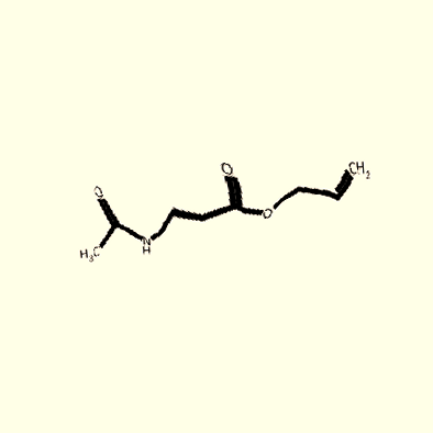 C=CCOC(=O)CCNC(C)=O